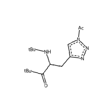 CC(=O)n1cc(CC(NC(C)(C)C)C(=O)C(C)(C)C)nn1